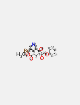 CCOC(=O)CCC(C(=O)COC1CCCCC1)C(=O)c1cncc(Br)c1